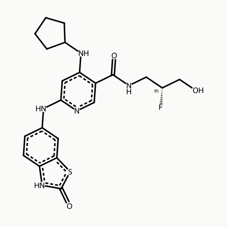 O=C(NC[C@@H](F)CO)c1cnc(Nc2ccc3[nH]c(=O)sc3c2)cc1NC1CCCC1